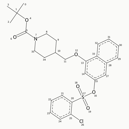 CC(C)(C)OC(=O)N1CCC(COc2cc(OS(=O)(=O)c3ccccc3Cl)cc3ccccc23)CC1